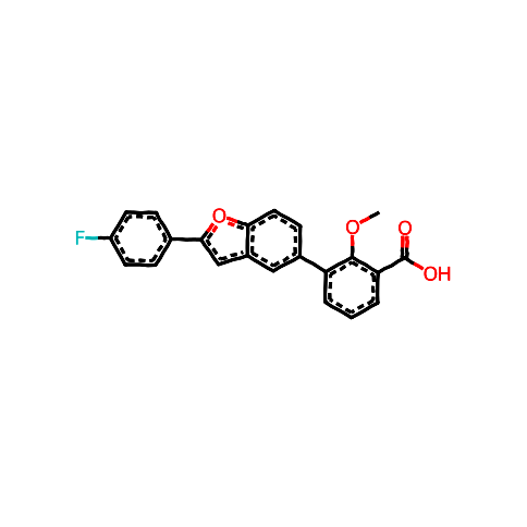 COc1c(C(=O)O)cccc1-c1ccc2oc(-c3ccc(F)cc3)cc2c1